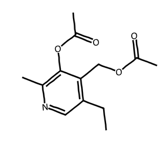 CCc1cnc(C)c(OC(C)=O)c1COC(C)=O